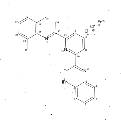 CC(=Nc1ccccc1C(C)C)c1cccc(C(C)=Nc2c(C)cccc2C)n1.[Cl-].[Cl-].[Fe+2]